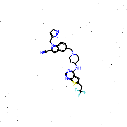 N#Cc1cc2cc(CN3CCC(Nc4ncnc5sc(CC(F)(F)F)cc45)CC3)ccc2n1CC1=CCN=N1